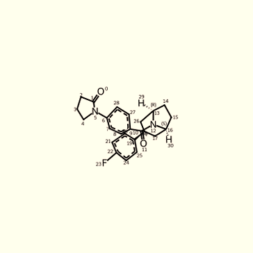 O=C1CCCN1c1ccc(C(=O)N2[C@@H]3CC[C@H]2C[C@@H](c2ccc(F)cc2)C3)cc1